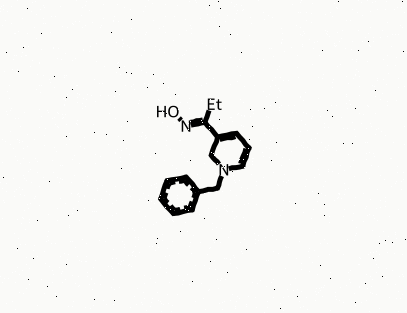 CCC(=NO)C1=CC=CN(Cc2ccccc2)C1